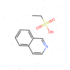 CCS(=O)(=O)O.c1ccc2cnccc2c1